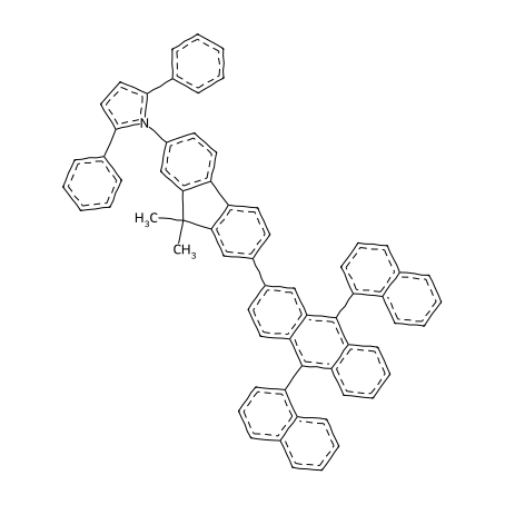 CC1(C)c2cc(-c3ccc4c(-c5cccc6ccccc56)c5ccccc5c(-c5cccc6ccccc56)c4c3)ccc2-c2ccc(-n3c(-c4ccccc4)ccc3-c3ccccc3)cc21